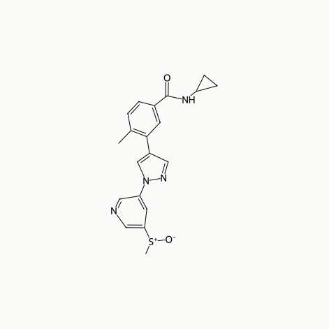 Cc1ccc(C(=O)NC2CC2)cc1-c1cnn(-c2cncc([S+](C)[O-])c2)c1